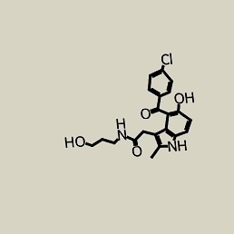 Cc1[nH]c2ccc(O)c(C(=O)c3ccc(Cl)cc3)c2c1CC(=O)NCCCO